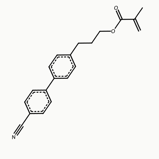 C=C(C)C(=O)OCCCc1ccc(-c2ccc(C#N)cc2)cc1